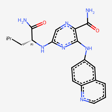 CC(C)C[C@@H](Nc1cnc(C(N)=O)c(Nc2ccc3ncccc3c2)n1)C(N)=O